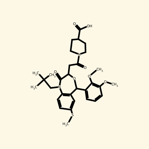 COc1cccc(C2OC(CC(=O)N3CCC(C(=O)O)CC3)C(=O)N(CC(C)(C)C)c3ccc(SC)cc32)c1OC